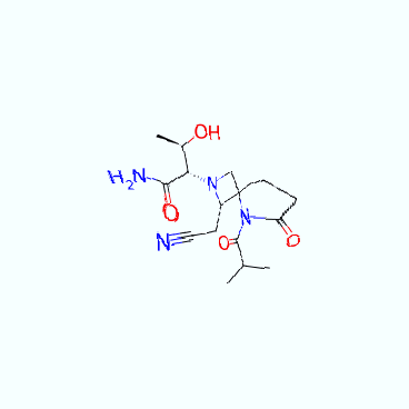 CC(C)C(=O)N1C(=O)CCC12CN([C@H](C(N)=O)[C@@H](C)O)C2CC#N